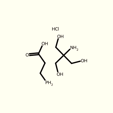 Cl.NC(CO)(CO)CO.O=C(O)CCP